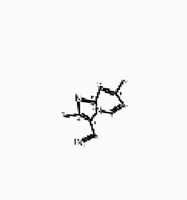 Cc1ccn2c(C=N)c(C)nc2c1